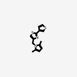 Cc1ccc(C)n1Cc1csc(-c2ccsc2)n1